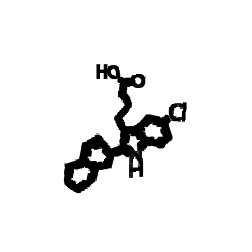 O=C(O)CCCc1c(-c2ccc3ccccc3c2)[nH]c2ccc(Cl)cc12